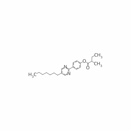 CCCCCCCc1cnc(-c2ccc(OC(=O)C(C)CC)cc2)nc1